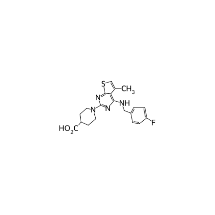 Cc1csc2nc(N3CCC(C(=O)O)CC3)nc(NCc3ccc(F)cc3)c12